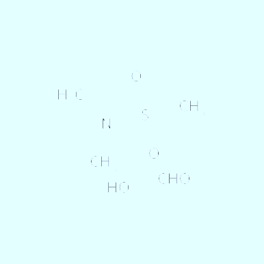 CN(C)S(C)(=O)=O.O=CO